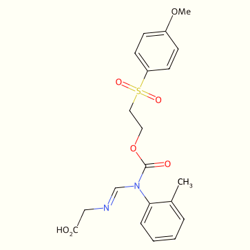 COc1ccc(S(=O)(=O)CCOC(=O)N(/C=N/CC(=O)O)c2ccccc2C)cc1